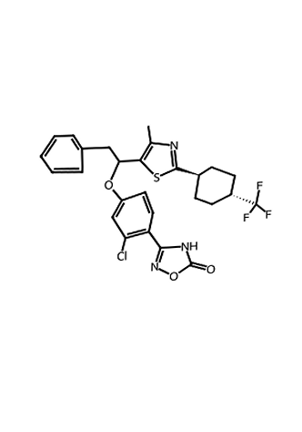 Cc1nc([C@H]2CC[C@H](C(F)(F)F)CC2)sc1C(Cc1ccccc1)Oc1ccc(-c2noc(=O)[nH]2)c(Cl)c1